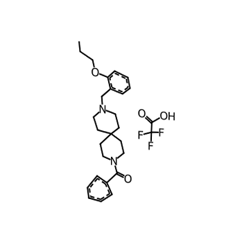 CCCOc1ccccc1CN1CCC2(CC1)CCN(C(=O)c1ccccc1)CC2.O=C(O)C(F)(F)F